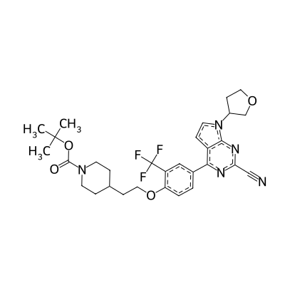 CC(C)(C)OC(=O)N1CCC(CCOc2ccc(-c3nc(C#N)nc4c3ccn4C3CCOC3)cc2C(F)(F)F)CC1